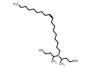 CCCCCCCC/C=C\CCCCCCCCN(C(C)CCO)C(C)CCO